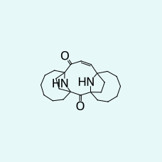 O=C1/C=C\C23CCCCCCC(CC2)(N3)C(=O)C23CCCCCCC1(CC2)N3